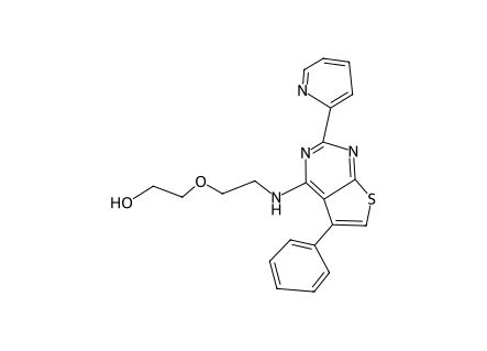 OCCOCCNc1nc(-c2ccccn2)nc2scc(-c3ccccc3)c12